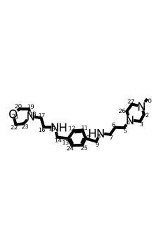 CN1CCN(CCCNCc2ccc(CNCCN3CCOCC3)cc2)CC1